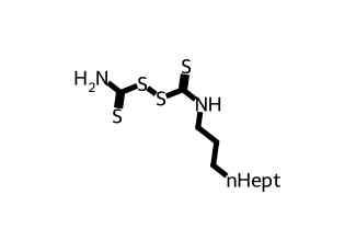 CCCCCCCCCCNC(=S)SSC(N)=S